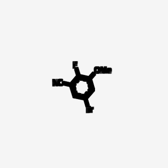 COc1cc(Br)cc(C#N)c1F